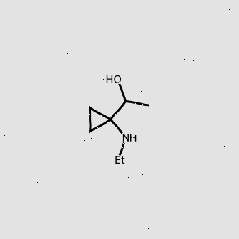 CCNC1(C(C)O)CC1